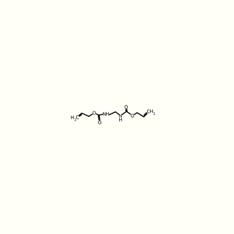 C=CCOC(=O)NCCNC(=O)OCC=C